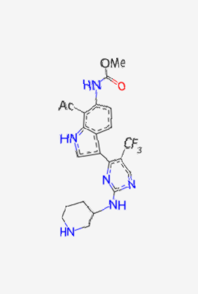 COC(=O)Nc1ccc2c(-c3nc(NC4CCCNC4)ncc3C(F)(F)F)c[nH]c2c1C(C)=O